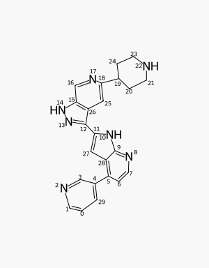 c1cncc(-c2ccnc3[nH]c(-c4n[nH]c5cnc(C6CCNCC6)cc45)cc23)c1